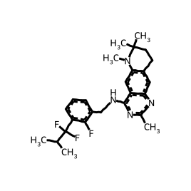 Cc1nc(NCc2cccc(C(F)(F)C(C)C)c2F)c2cc3c(cc2n1)CCC(C)(C)N3C